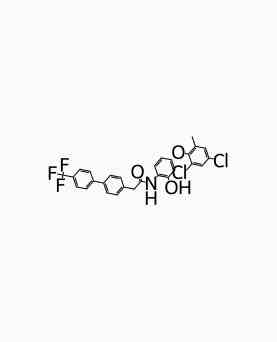 Cc1cc(Cl)cc(Cl)c1Oc1ccc(NC(=O)Cc2ccc(-c3ccc(C(F)(F)F)cc3)cc2)c(O)c1